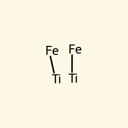 [Ti][Fe].[Ti][Fe]